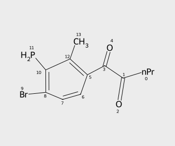 CCCC(=O)C(=O)c1ccc(Br)c(P)c1C